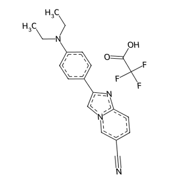 CCN(CC)c1ccc(-c2cn3cc(C#N)ccc3n2)cc1.O=C(O)C(F)(F)F